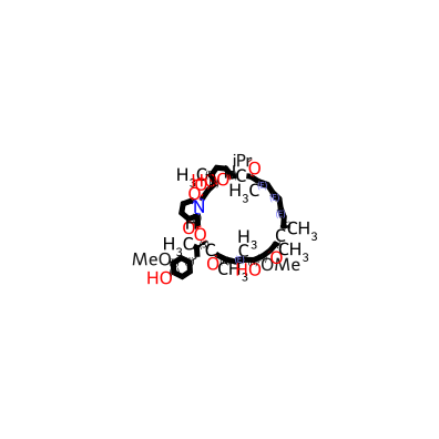 CO[C@@H]1C[C@H](CC(C)[C@@H]2CC(=O)[C@H](C)/C=C(\C)[C@@H](O)[C@@H](OC)C(=O)[C@H](C)C[C@H](C)/C=C/C=C/C=C(\C)C(OC(C)C)C[C@@H]3CC[C@@H](C)[C@@](O)(O3)C(=O)C(=O)N3CCCC[C@H]3C(=O)O2)CC[C@H]1O